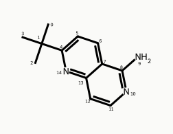 CC(C)(C)c1ccc2c(N)nccc2n1